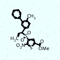 C=CC(c1ccc(C)c(-c2ccccc2)c1)S(=O)(=O)c1cc(C(=O)OC)sc1[N+](=O)[O-]